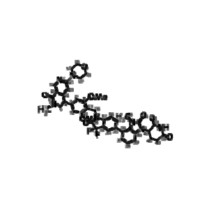 COc1cc(-c2cn(C)c(=O)c3cnc(N4CCOCC4)cc23)cc(OC)c1CN1C(=O)C(F)(F)c2cc(-c3cccc4c3n(C)c(=O)n4C3CCC(=O)NC3=O)ccc21